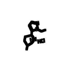 CCn1nccc1C1CCC(C)CN1.Cl